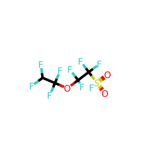 O=S(=O)(F)C(F)(F)C(F)(F)OC(F)(F)C(F)F